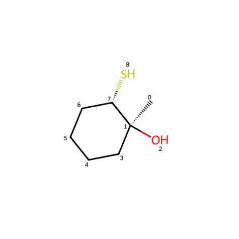 C[C@]1(O)CCCC[C@@H]1S